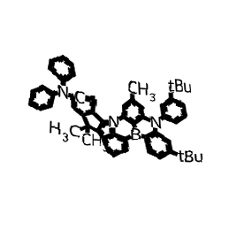 Cc1cc2c3c(c1)-n1c4c(c5cccc(c51)B3c1ccc(C(C)(C)C)cc1N2c1cccc(C(C)(C)C)c1)C(C)(C)c1cc(N(c2ccccc2)c2ccccc2)ccc1-4